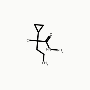 CCCC(Cl)(C(=O)NN)C1CC1